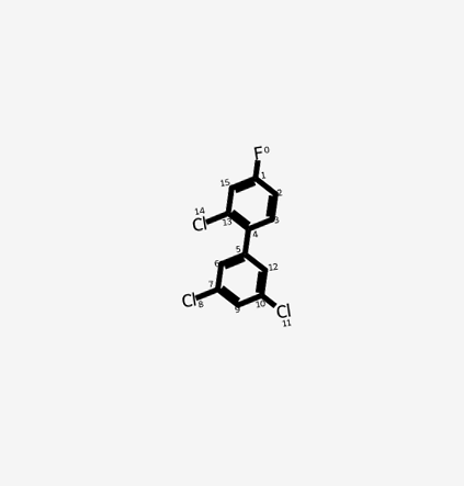 Fc1ccc(-c2cc(Cl)[c]c(Cl)c2)c(Cl)c1